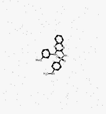 CBc1ccc(S(=O)(=O)Nc2nc3ccccc3nc2Nc2cccc(OC)c2)cc1